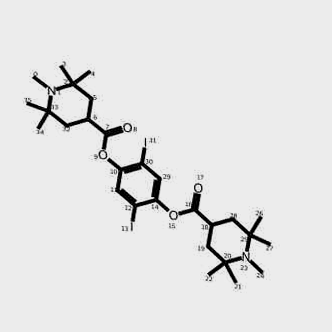 CN1C(C)(C)CC(C(=O)Oc2cc(I)c(OC(=O)C3CC(C)(C)N(C)C(C)(C)C3)cc2I)CC1(C)C